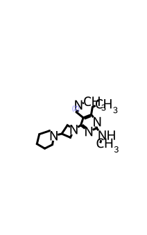 CCc1nc(NC)nc(N2CC(N3CCCCC3)C2)c1/C=N\C